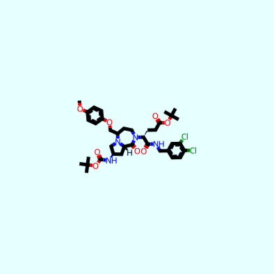 COc1ccc(OCC2CCN([C@H](CCC(=O)OC(C)(C)C)C(=O)NCc3ccc(Cl)c(Cl)c3)C(=O)[C@@H]3C[C@@H](NC(=O)OC(C)(C)C)CN23)cc1